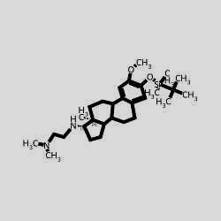 COc1cc2c(cc1O[Si](C)(C)C(C)(C)C)CCC1C2CC[C@@]2(C)C1CC[C@@H]2NCCN(C)C